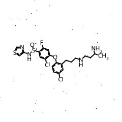 CC(N)CCNCCCc1cc(Cl)ccc1Oc1cc(F)c([S+]([O-])Nc2cscn2)cc1Cl